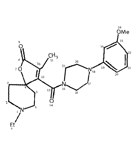 CCN1CCC2(CC1)OC(=O)C(C)=C2C(=O)N1CCN(c2cccc(OC)c2)CC1